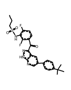 CCCS(=O)(=O)Nc1c(F)ccc(C(=O)c2n[nH]c3ncc(-c4ccc(C(C)(C)C)cc4)cc23)c1F